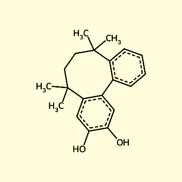 CC1(C)CCC(C)(C)c2cc(O)c(O)cc2-c2ccccc21